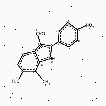 Cc1ccc2c(C=O)c(-c3ccc([N+](=O)[O-])cc3)[nH]c2c1C